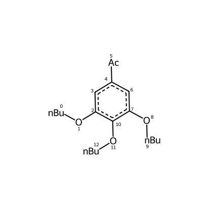 CCCCOc1cc(C(C)=O)cc(OCCCC)c1OCCCC